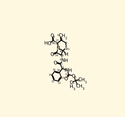 C=C1CS[C@@H]2[C@H](NC(=O)C(NC(=O)OC(C)(C)C)c3ccccc3)C(=O)N2[C@H]1C(=O)O